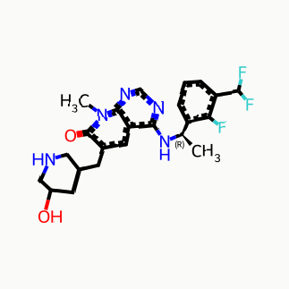 C[C@@H](Nc1ncnc2c1cc(CC1CNCC(O)C1)c(=O)n2C)c1cccc(C(F)F)c1F